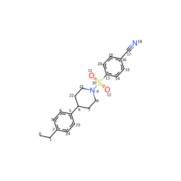 CCc1ccc(C2CCN(S(=O)(=O)c3ccc(C#N)cc3)CC2)cc1